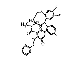 CN1C(=O)c2c(OCc3ccccc3)c(=O)ccn2N2C(c3ccc(F)cc3)c3cc(F)c(F)cc3OCC[C@@H]12